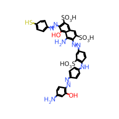 Nc1ccc(/N=N/c2ccc(Nc3ccc(/N=N/c4c(S(=O)(=O)O)cc5cc(S(=O)(=O)O)c(/N=N/c6ccc(S)cc6)c(O)c5c4N)cc3S(=O)(=O)O)cc2)c(O)c1